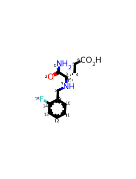 NC(=O)[C@H](CCC(=O)O)NCc1ccccc1F